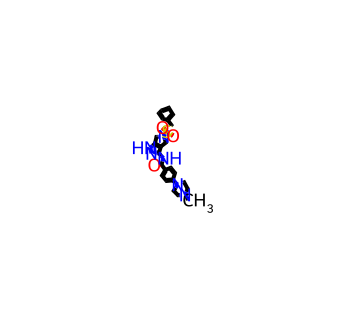 CN1CCN(c2ccc(C(=O)Nc3n[nH]c4c3CN(S(=O)(=O)Cc3ccccc3)C4)cc2)CC1